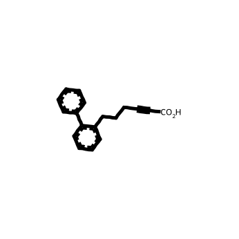 O=C(O)C#CCCCc1ccccc1-c1ccccc1